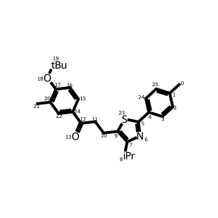 Cc1ccc(-c2nc(C(C)C)c(CCC(=O)c3ccc(OC(C)(C)C)c(C)c3)s2)cc1